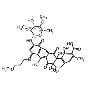 COCCCN=C1C=C(N[C@H]2O[C@@H](C)[C@H](OC)[C@@H](O)[C@H]2OC)C(=O)c2cc3c(c(O)c21)C(=O)C1(OC)C(O)Cc2cc(C)c(C(=O)O)c(O)c2C1(O)C3=O